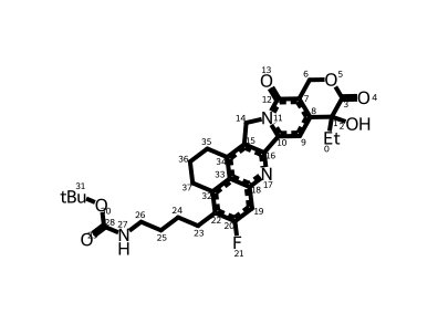 CCC1(O)C(=O)OCc2c1cc1n(c2=O)Cc2c-1nc1cc(F)c(CCCCNC(=O)OC(C)(C)C)c3c1c2CCC3